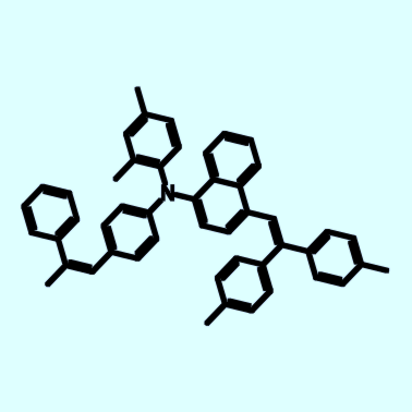 C/C(=C/c1ccc(N(c2ccc(C)cc2C)c2ccc(C=C(c3ccc(C)cc3)c3ccc(C)cc3)c3ccccc23)cc1)c1ccccc1